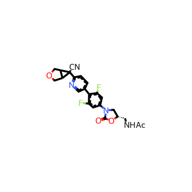 CC(=O)NC[C@H]1CN(c2cc(F)c(-c3ccc(C4(C#N)C5COCC54)nc3)c(F)c2)C(=O)O1